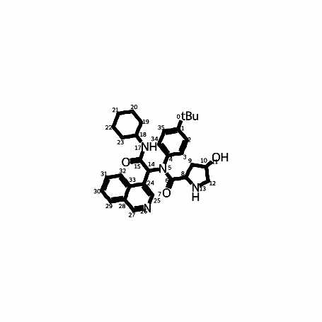 CC(C)(C)c1ccc(N(C(=O)C2CC(O)CN2)C(C(=O)NC2CCCCC2)c2cncc3ccccc23)cc1